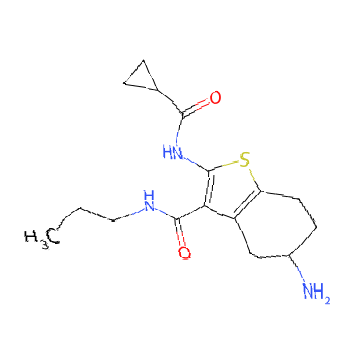 CCCNC(=O)c1c(NC(=O)C2CC2)sc2c1CC(N)CC2